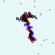 CCC(C)(C)C(=O)C(=O)N1CCCC[C@H]1C(=O)O[C@H](CCc1ccc(OC)c(OC)c1)c1cccc(OCC(=O)NCCNC(=O)COc2ccc(/N=N\c3cccc4c3CN(C3CCC(=O)NC3=O)C4=O)cc2)c1